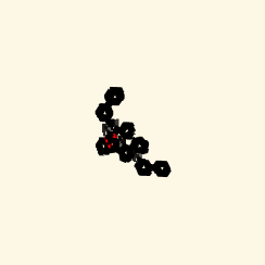 c1ccc(-c2cccc(-c3nc(-c4ccccc4)cc(-c4ccccc4-n4c5ccccc5c5ccc6c(c7ccccc7n6-c6cccc(-c7ccccc7)c6)c54)n3)c2)cc1